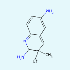 CCC1(C)C=c2cc(N)ccc2=NC1N